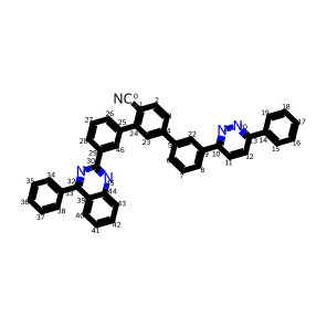 N#Cc1ccc(-c2cccc(-c3ccc(-c4ccccc4)nn3)c2)cc1-c1cccc(-c2nc(-c3ccccc3)c3ccccc3n2)c1